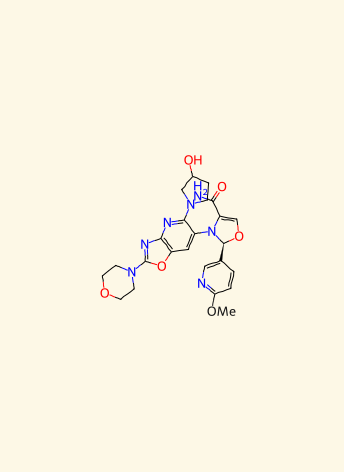 COc1ccc([C@@H]2OC=C(C(N)=O)N2c2cc3oc(N4CCOCC4)nc3nc2N2CCC(O)C2)cn1